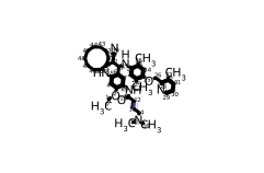 CCOc1cc2c(cc1NC(=O)/C=C/CN(C)C)C(Nc1cc(C)c(OCc3ncccc3C)cc1C)C(C#N)C1(CCCCCCCCC1)N2